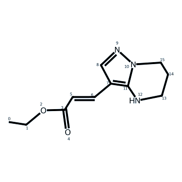 CCOC(=O)C=Cc1cnn2c1NCCC2